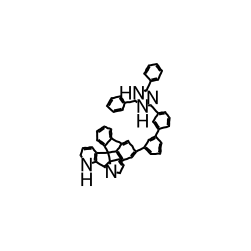 C1=CC2=C(NC1)C1N3CC=CC13C21c2ccccc2-c2cc(-c3cccc(-c4cccc(C5N=C(c6ccccc6)NC(c6ccccc6)N5)c4)c3)ccc21